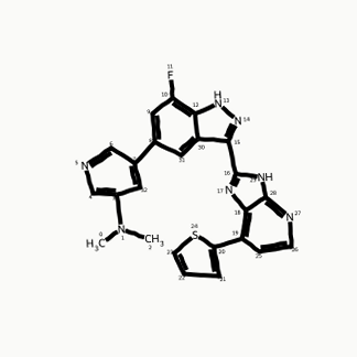 CN(C)c1cncc(-c2cc(F)c3[nH]nc(-c4nc5c(-c6cccs6)ccnc5[nH]4)c3c2)c1